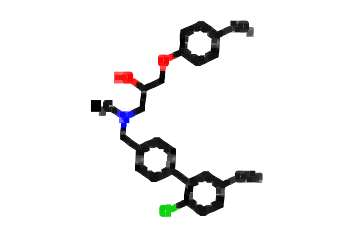 COc1ccc(Cl)c(-c2ccc(CN(C)CC(O)COc3ccc([N+](=O)[O-])cc3)cc2)c1